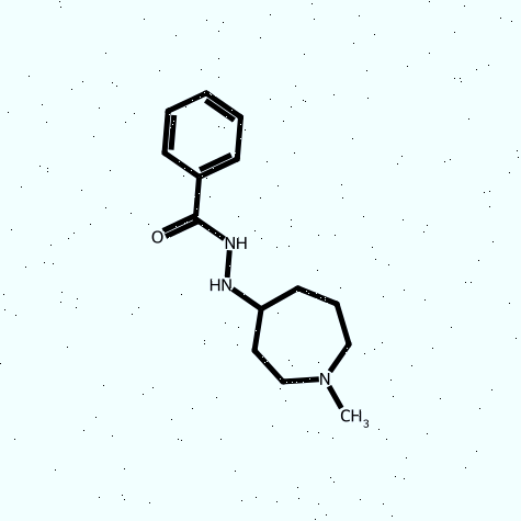 CN1CCCC(NNC(=O)c2ccccc2)CC1